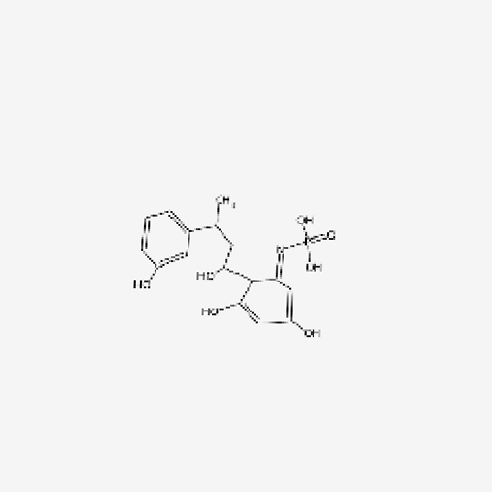 CC(CC(O)C1C(O)=CC(O)=CC1=NP(=O)(O)O)c1cccc(O)c1